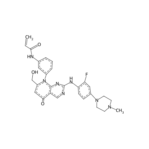 C=CC(=O)Nc1cccc(-n2c(CO)cc(=O)c3cnc(Nc4ccc(N5CCN(C)CC5)cc4F)nc32)c1